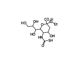 CCOC1(C(=O)O)CC(O)C(NC(=O)S)C(C(O)C(O)CO)O1